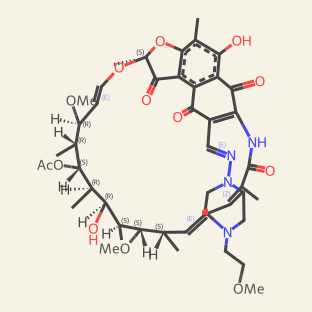 COCCN1CCN(/N=C/C2=C3NC(=O)/C(C)=C\C=C\[C@H](C)[C@H](OC)[C@@H](C)[C@@H](O)[C@@H](C)[C@H](OC(C)=O)[C@H](C)[C@@H](OC)/C=C/O[C@@]4(C)Oc5c(C)c(O)c(c(c5C4=O)C2=O)C3=O)CC1